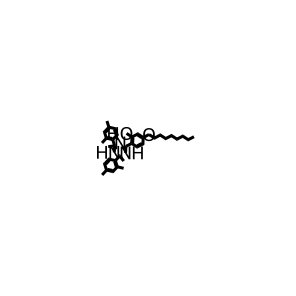 CCCCCCCCOc1ccc(C2=NC(C)(c3ccc(C)cc3C)NC(C)(c3ccc(C)cc3C)N2)c(O)c1